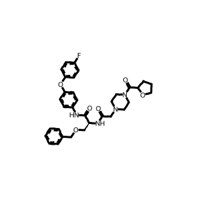 O=C(CN1CCN(C(=O)C2CCCO2)CC1)N[C@@H](COCc1ccccc1)C(=O)Nc1ccc(Oc2ccc(F)cc2)cc1